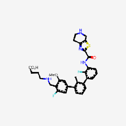 COc1cc(-c2cccc(-c3cccc(NC(=O)c4nc5c(s4)CNCC5)c3F)c2C)cc(F)c1CNCCCC(=O)O